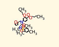 CCCCOC(=O)c1ccc(N(Cc2ccco2)C(=O)CN(C)S(=O)(=O)c2c(C)cc(C)cc2C)cc1OCCCC